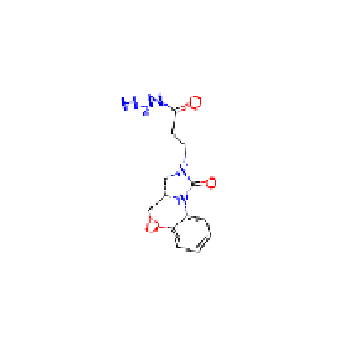 NC(=O)CCN1CC2COc3ccccc3N2C1=O